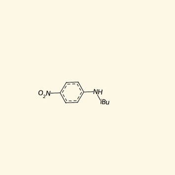 CCC(C)Nc1ccc([N+](=O)[O-])cc1